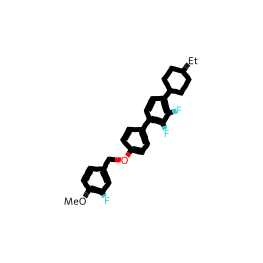 CCC1CCC(c2ccc(-c3ccc(OCc4ccc(OC)c(F)c4)cc3)c(F)c2F)CC1